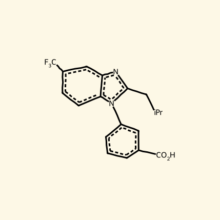 CC(C)Cc1nc2cc(C(F)(F)F)ccc2n1-c1cccc(C(=O)O)c1